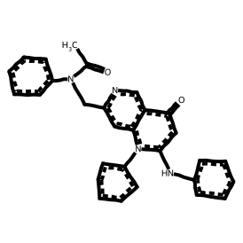 CC(=O)N(Cc1cc2c(cn1)c(=O)cc(Nc1ccccc1)n2-c1ccccc1)c1ccccc1